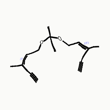 C#C/C(C)=C\COC(C)(C)OC/C=C(/C)C#C